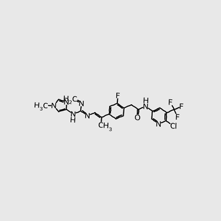 C=N/C(=N\C=C(/C)c1ccc(CC(=O)Nc2cnc(Cl)c(C(F)(F)F)c2)c(F)c1)Nc1cn(C)cn1